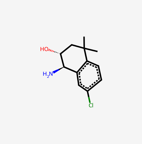 CC1(C)C[C@@H](O)[C@H](N)c2cc(Cl)ccc21